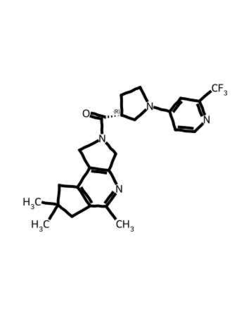 Cc1nc2c(c3c1CC(C)(C)C3)CN(C(=O)[C@@H]1CCN(c3ccnc(C(F)(F)F)c3)C1)C2